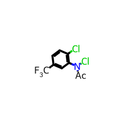 CC(=O)N(Cl)c1cc(C(F)(F)F)ccc1Cl